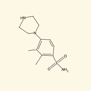 Cc1c(N2CCNCC2)ccc(S(N)(=O)=O)c1C